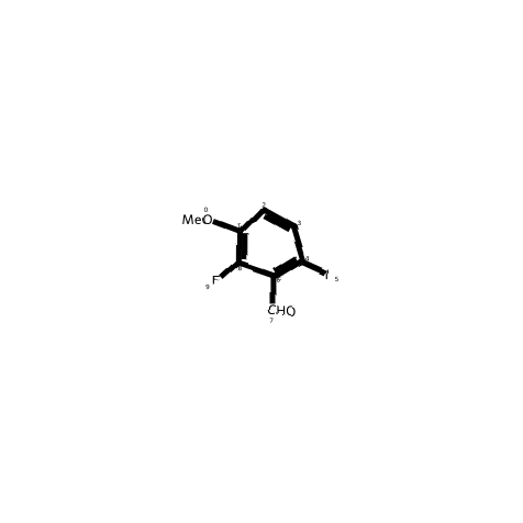 COc1ccc(I)c(C=O)c1F